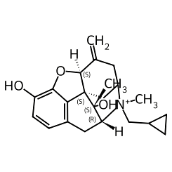 C=C1CC2C[C@]34c5c(ccc(O)c5O[C@@H]13)C[C@H]([C@@]4(C)O)[N+]2(C)CC1CC1